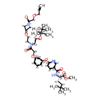 C#CCOCC(=O)N1CC(OCCN(CCO[Si](C)(C)C(C)(C)C)C(=O)COc2cccc(Oc3ccc(C(=O)N[C@@H](CCC(C)(C)C)C(=O)OC)cn3)c2)C1